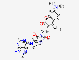 CCN(CC)c1ccc2c(C)c(CCN3C(=O)NC4(CCN(c5ncnc6[nH]cnc56)C4)C3=O)c(=O)oc2c1